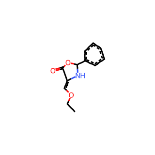 CCO/C=C1\NC(c2ccccc2)OC1=O